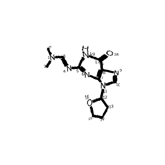 CN(C)/C=N/c1nc2c(ncn2C2[CH]CCO2)c(=O)[nH]1